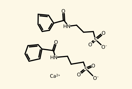 O=C(NCCCS(=O)(=O)[O-])c1ccccc1.O=C(NCCCS(=O)(=O)[O-])c1ccccc1.[Ca+2]